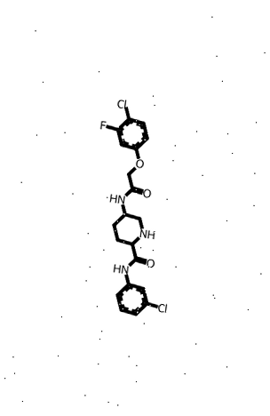 O=C(COc1ccc(Cl)c(F)c1)NC1CCC(C(=O)Nc2cccc(Cl)c2)NC1